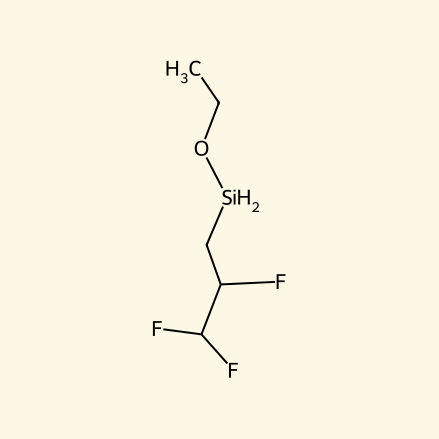 CCO[SiH2]CC(F)C(F)F